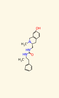 C[C@@H](Cc1ccccc1)NC(=O)NC[C@@H]1Cc2ccc(O)cc2CN1C